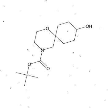 CC(C)(C)OC(=O)N1CCOC2(CCC(O)CC2)C1